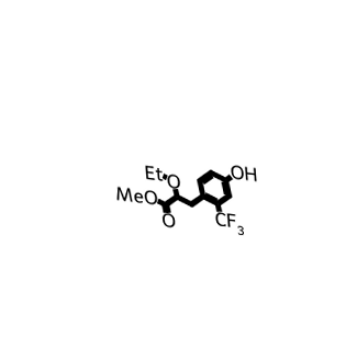 CCOC(Cc1ccc(O)cc1C(F)(F)F)C(=O)OC